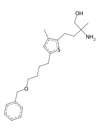 Cc1cc(CCCCOCc2ccccc2)sc1CCC(C)(N)CO